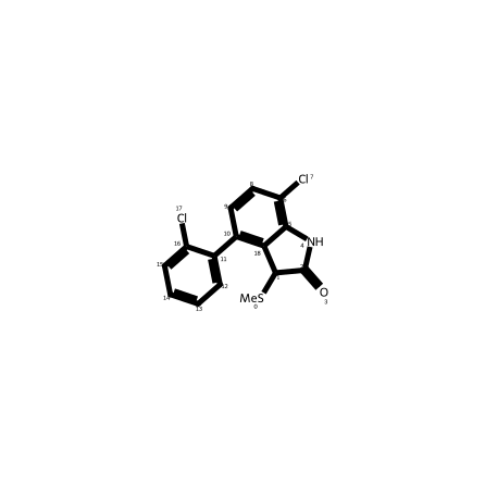 CSC1C(=O)Nc2c(Cl)ccc(-c3ccccc3Cl)c21